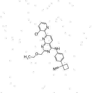 CCOCc1nc(Nc2ccc(C3(C#N)CCC3)cc2)c2ccc(-c3ncccc3Cl)nc2n1